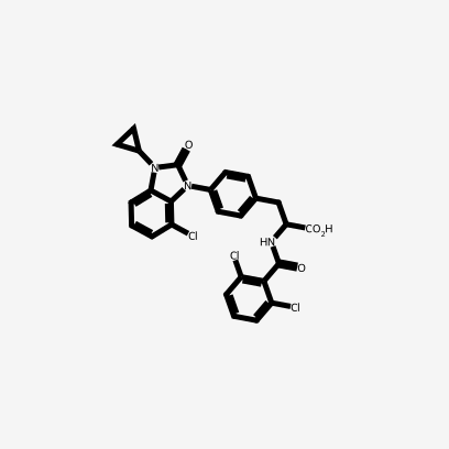 O=C(NC(Cc1ccc(-n2c(=O)n(C3CC3)c3cccc(Cl)c32)cc1)C(=O)O)c1c(Cl)cccc1Cl